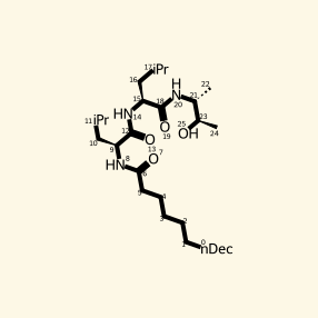 CCCCCCCCCCCCCCCC(=O)N[C@@H](CC(C)C)C(=O)N[C@@H](CC(C)C)C(=O)N[C@H](C)[C@@H](C)O